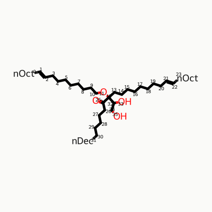 CCCCCCCCC=CCCCCCCCCOC(CCCCCCCCC=CCCCCCCCC)(C(=O)CCCCCCCCCCCCCCC)C(O)CO